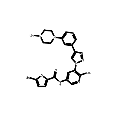 Cc1ncc(NC(=O)c2ccc(C(C)(C)C)o2)cc1-n1cc(-c2cncc(N3CCN(C(C)(C)C)CC3)c2)nn1